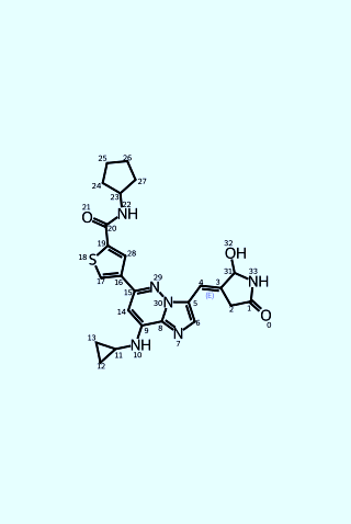 O=C1C/C(=C\c2cnc3c(NC4CC4)cc(-c4csc(C(=O)NC5CCCC5)c4)nn23)C(O)N1